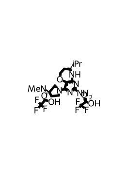 CN[C@@H]1CCN(c2nc(N)nc3c2OCC[C@H](C(C)C)N3)C1.O=C(O)C(F)(F)F.O=C(O)C(F)(F)F